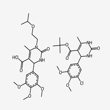 COc1cc(C2NC(=O)N(CCOC(C)C)C(C)=C2C(=O)O)cc(OC)c1OC.COc1cc(C2NC(=O)NC(C)=C2C(=O)OC(C)(C)C)cc(Cl)c1OC